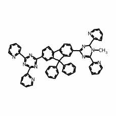 CN1C(c2ccccn2)=NC(c2ccc3c(c2)C(c2ccccc2)(c2ccccc2)c2cc(-c4nc(-c5ccccn5)nc(-c5ccccn5)n4)ccc2-3)=NC1c1ccccn1